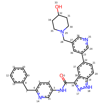 O=C(Nc1ccc(Cc2ccccc2)nc1)c1n[nH]c2ccc(-c3cncc(CN4CCC(O)CC4)c3)cc12